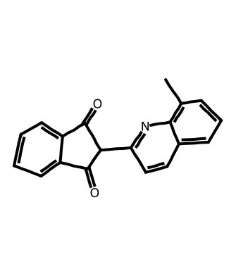 Cc1cccc2ccc(C3C(=O)c4ccccc4C3=O)nc12